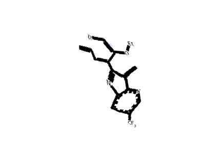 C=C/C=C(C1=Nc2cc(C(F)(F)F)cnc2C1=C)\C(=C/CC)OCC